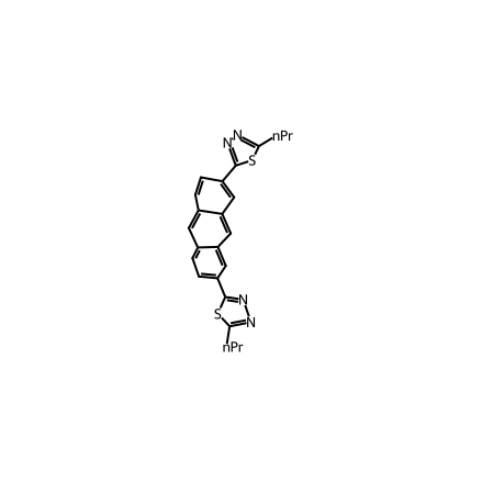 CCCc1nnc(-c2ccc3cc4ccc(-c5nnc(CCC)s5)cc4cc3c2)s1